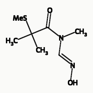 CSC(C)(C)C(=O)N(C)C=NO